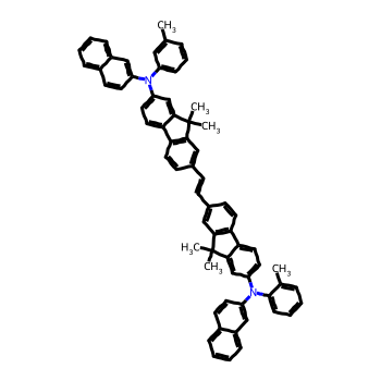 Cc1cccc(N(c2ccc3c(c2)C(C)(C)c2cc(/C=C/c4ccc5c(c4)C(C)(C)c4cc(N(c6ccc7ccccc7c6)c6ccccc6C)ccc4-5)ccc2-3)c2ccc3ccccc3c2)c1